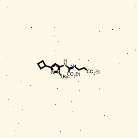 CCOC(=O)CC/N=C(/Nc1cc(C2CCC2)nn1C(C)(C)C)C(=O)OCC